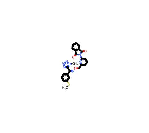 CSc1cccc(C(=NOCc2cccc(N3C(=O)c4ccccc4C3=O)n2)c2nnnn2C)c1